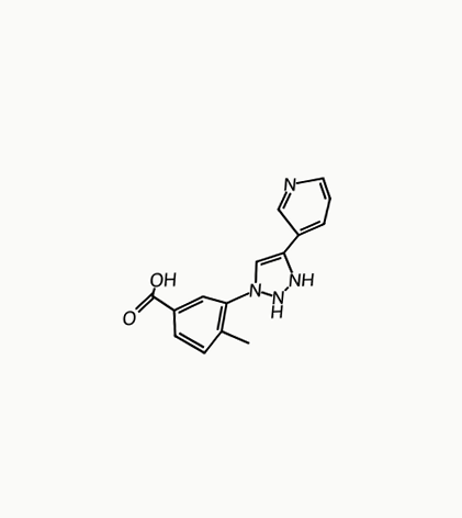 Cc1ccc(C(=O)O)cc1N1C=C(c2cccnc2)NN1